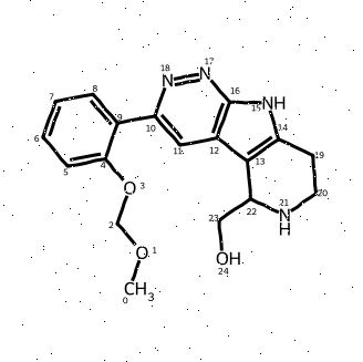 COCOc1ccccc1-c1cc2c3c([nH]c2nn1)CCNC3CO